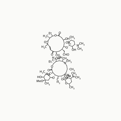 CCC1OC(=O)C[C@@H](O)[C@H](C)[C@@H](O[C@@H]2O[C@H](C)C[C@H](N(C)C)[C@H]2O)[C@@H](CC=O)C[C@@H](C)C(=O)/C=C/[C@]2(C)OC2C1C.CC[C@H]1OC(=O)[C@H](C)[C@@H](O[C@H]2C[C@@](C)(OC)[C@@H](O)[C@H](C)O2)[C@H](C)[C@@H](O[C@@H]2O[C@H](C)C[C@H](N(C)C)[C@H]2O)[C@](C)(O)C[C@@H](C)CN(C)[C@H](C)[C@@H](O)[C@]1(C)O